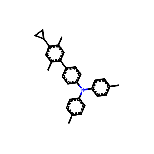 Cc1ccc(N(c2ccc(C)cc2)c2ccc(-c3cc(C)c(C4CC4)cc3C)cc2)cc1